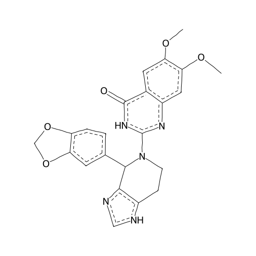 COc1cc2nc(N3CCc4[nH]cnc4C3c3ccc4c(c3)OCO4)[nH]c(=O)c2cc1OC